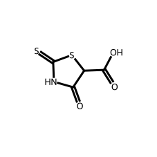 O=C(O)C1SC(=S)NC1=O